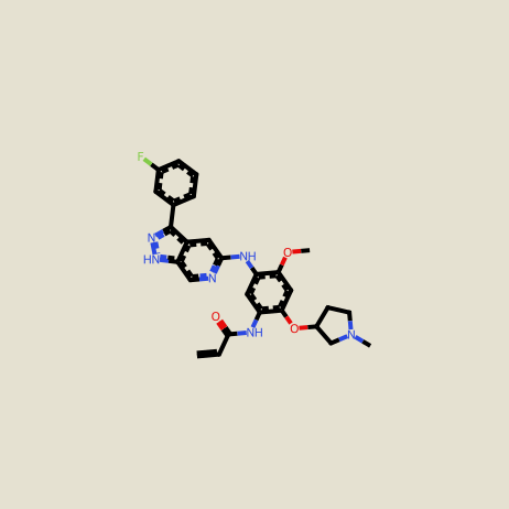 C=CC(=O)Nc1cc(Nc2cc3c(-c4cccc(F)c4)n[nH]c3cn2)c(OC)cc1OC1CCN(C)C1